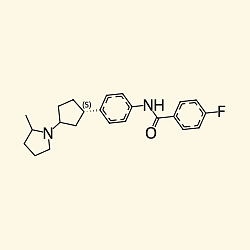 CC1CCCN1C1CC[C@H](c2ccc(NC(=O)c3ccc(F)cc3)cc2)C1